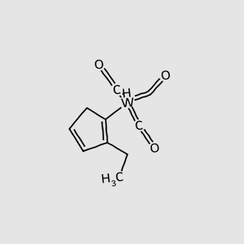 CCC1=[C]([WH](=[C]=O)(=[C]=O)=[C]=O)CC=C1